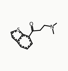 CN(C)CCC(=O)c1cccc2ccsc12